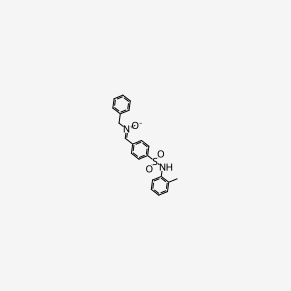 Cc1ccccc1NS(=O)(=O)c1ccc(C=[N+]([O-])Cc2ccccc2)cc1